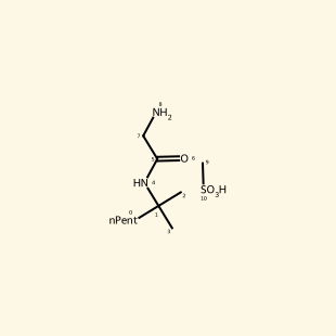 CCCCCC(C)(C)NC(=O)CN.CS(=O)(=O)O